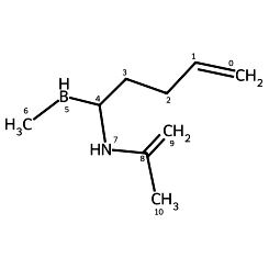 C=CCCC(BC)NC(=C)C